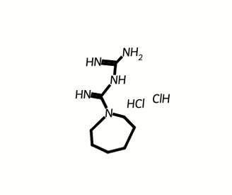 Cl.Cl.N=C(N)NC(=N)N1CCCCCC1